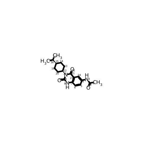 CC(=O)Nc1ccc2[nH]c(=O)n([C@H]3CC[C@H](C(C)C)CC3)c(=O)c2c1